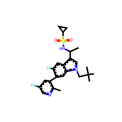 Cc1ncc(F)cc1-c1cc2c(cc1F)c(C(C)NS(=O)(=O)C1CC1)cn2CC(C)(C)C